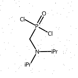 CC(C)N(CP(=O)(Cl)Cl)C(C)C